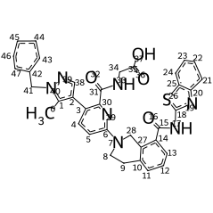 Cc1c(-c2ccc(N3CCc4cccc(C(=O)Nc5nc6ccccc6s5)c4C3)nc2C(=O)NCC(=O)O)cnn1Cc1ccccc1